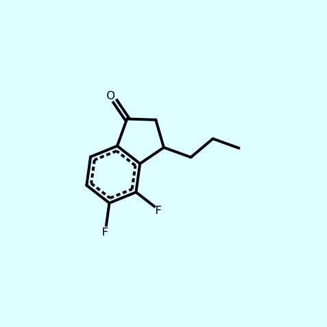 CCCC1CC(=O)c2ccc(F)c(F)c21